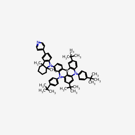 CC(C)(C)c1ccc(N2c3ccc(C(C)(C)C)cc3B3c4ccc(N5c6ccc(-c7ccncc7)cc6C6(C)CCCCC56C)cc4N(c4ccc(C(C)(C)C)cc4)c4cc(C(C)(C)C)cc2c43)cc1